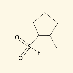 CC1CCCC1S(=O)(=O)F